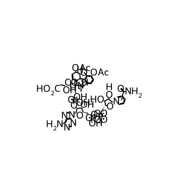 CC(=O)Oc1ccc2c3c1O[C@H]1[C@@H](OC(C)=O)C=C[C@H]4[C@@H](C2)N(C)CC[C@@]341.NC(=O)c1ccc[n+]([C@@H]2O[C@H](COP(=O)([O-])OP(=O)(O)OC[C@H]3O[C@@H](n4cnc5c(N)ncnc54)[C@H](OP(=O)(O)O)[C@@H]3O)[C@@H](O)[C@H]2O)c1.O=C(O)CC(O)C(=O)O